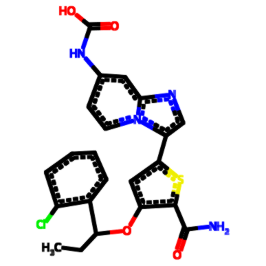 CCC(Oc1cc(-c2cnc3cc(NC(=O)O)ccn23)sc1C(N)=O)c1ccccc1Cl